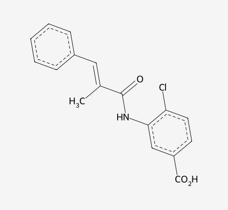 C/C(=C\c1ccccc1)C(=O)Nc1cc(C(=O)O)ccc1Cl